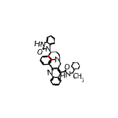 C[C@H](NC(=O)c1c(CN2CCC(n3c(=O)[nH]c4ccccc43)CC2)c(-c2ccccc2)nc2ccccc12)C1CCCCC1